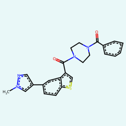 Cn1cc(-c2ccc3scc(C(=O)N4CCN(C(=O)c5ccccc5)CC4)c3c2)cn1